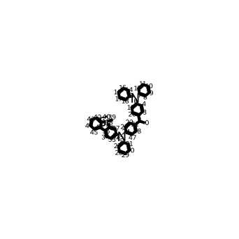 CC(c1ccc(N(c2ccccc2)c2ccccc2)cc1)c1ccc(N(c2ccccc2)c2ccc3c(c2)[Si](C)(C)c2ccccc2-3)cc1